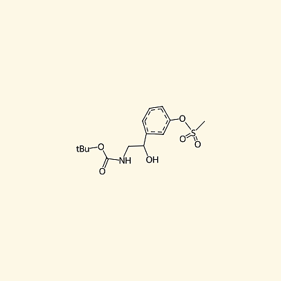 CC(C)(C)OC(=O)NCC(O)c1cccc(OS(C)(=O)=O)c1